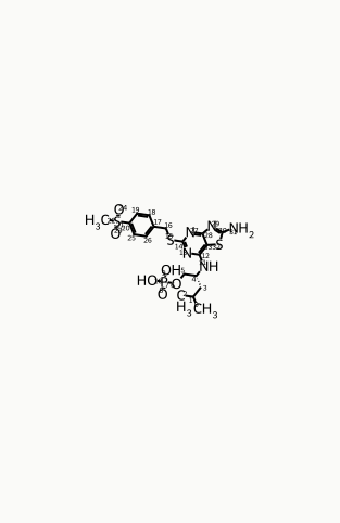 CC(C)C[C@H](COP(=O)(O)O)Nc1nc(SCc2ccc(S(C)(=O)=O)cc2)nc2nc(N)sc12